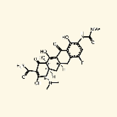 CNC(=O)Nc1cc(F)c2c(c1O)C(=O)C1=C(O)[C@]3(O)C(=O)C(C(N)=O)=C(O)[C@@H](N(C)C)[C@@H]3C[C@@H]1C2